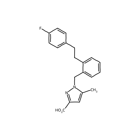 Cc1cc(C(=O)O)nn1Cc1ccccc1CCc1ccc(F)cc1